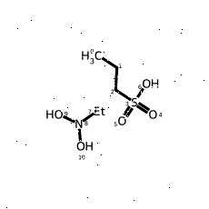 CCCS(=O)(=O)O.CCN(O)O